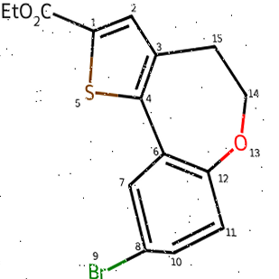 CCOC(=O)c1cc2c(s1)-c1cc(Br)ccc1OCC2